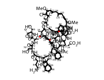 COc1cc2cc(c1Cl)N(C)C(=O)C[C@H](OC(=O)[C@H](C)N(C)C(=O)CCSSC[C@H](NC(C)=O)C(=O)N[C@@H](CC(=O)O)C(=O)NC(CC(=O)O)C(=O)N[C@H](Cc1ccccc1)C(=O)N[C@H]1CSSC[C@@H](C(=O)N[C@H](CO)[C@@H](C)O)NC(=O)[C@H]([C@@H](C)O)NC(=O)[C@H](CCCCN)NC(=O)[C@@H](Cc3c[nH]c4ccccc34)NC(=O)[C@H](Cc3ccccc3)NC1=O)[C@]1(C)O[C@H]1[C@H](C)[C@@H]1C[C@@](O)(NC(=O)O1)[C@H](OC)/C=C/C=C(\C)C2